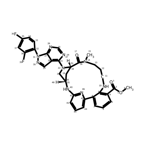 COC(=O)c1cccc2c1NCCCN(C)C(=O)[C@@H]1C[C@@H](CN1c1ncnc3c1cnn3-c1ccc(F)cc1F)Nc1cccc-2n1